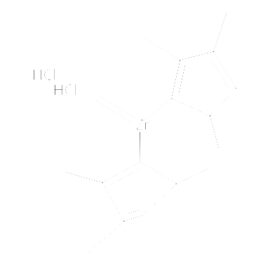 Cl.Cl.[CH2]=[Zr]([C]1=C(C)C(C)=CC1C)[C]1=C(C)C(C)=CC1C